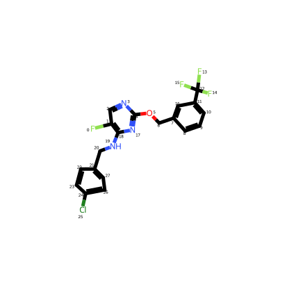 Fc1cnc(OCc2cccc(C(F)(F)F)c2)nc1NCc1ccc(Cl)cc1